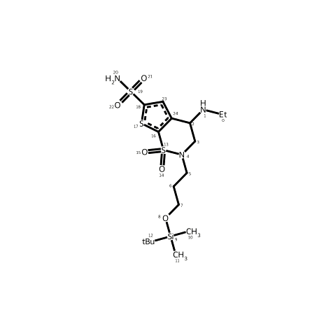 CCNC1CN(CCCO[Si](C)(C)C(C)(C)C)S(=O)(=O)c2sc(S(N)(=O)=O)cc21